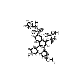 Cn1cc(-c2cc(F)ccc2-c2nccc3cc(S(=O)(=O)Nc4nccs4)ccc23)cn1.O=C(O)C(F)(F)F